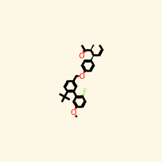 C/C=C\[C@@H](c1ccc(OCc2ccc(C(C)(C)C)c(-c3cc(OC)ccc3F)c2)cc1)[C@H](C)C(C)=O